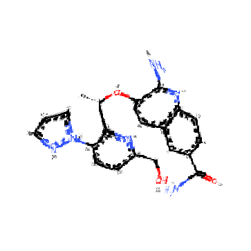 C[C@H](Oc1cc2cc(C(N)=O)ccc2nc1N)c1nc(CO)ccc1-n1cccn1